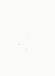 CC(C)C(C)(C)C(=O)Oc1c(O)cccc1OI